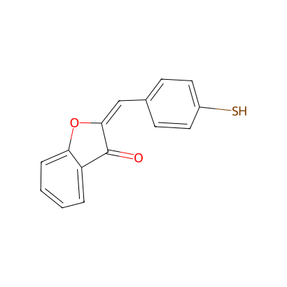 O=C1/C(=C\c2ccc(S)cc2)Oc2ccccc21